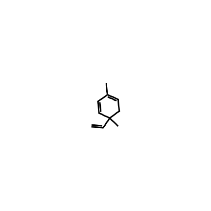 C=CC1(C)C=CC(C)=CC1